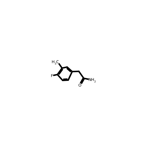 Cc1cc(CC(N)=O)ccc1F